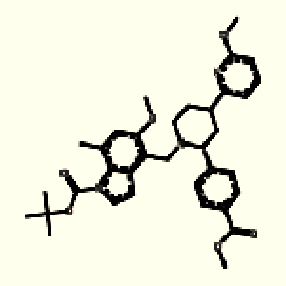 COC(=O)c1ccc([C@@H]2CC(c3cccc(OC)n3)CCN2Cc2c(OC)cc(C)c3c2ccn3C(=O)OC(C)(C)C)cc1